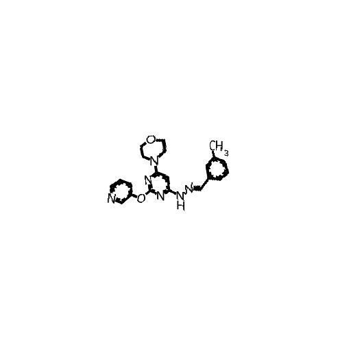 Cc1cccc(C=NNc2cc(N3CCOCC3)nc(Oc3cccnc3)n2)c1